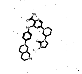 CN1CCN(C2CCCN(c3cnc(C(N)=O)c(Nc4ccc(N5CCC6CCNCC6C5)cc4)n3)C2)C1=O